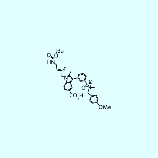 COc1ccc(CN(C)S(=O)(=O)c2cccc(-c3c(C)n(CC(F)=CCNC(=O)OC(C)(C)C)c4ccc(C(=O)O)cc34)c2)cc1